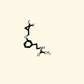 CC(=O)NCCc1cccc(OCC2CC2(F)F)c1